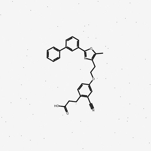 Cc1oc(-c2cccc(-c3ccccc3)c2)nc1CCOc1ccc(CCC(=O)O)c(C#N)c1